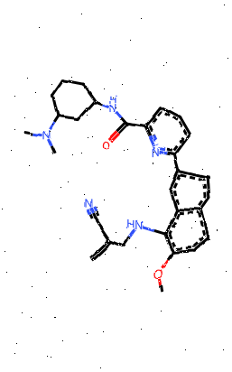 C=C(C#N)CNc1c(OC)ccc2ccc(-c3cccc(C(=O)NC4CCCC(N(C)C)C4)n3)cc12